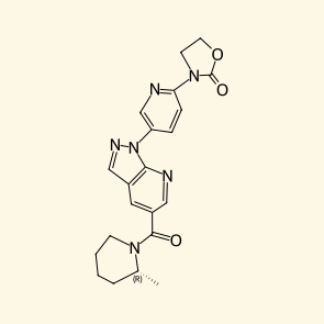 C[C@@H]1CCCCN1C(=O)c1cnc2c(cnn2-c2ccc(N3CCOC3=O)nc2)c1